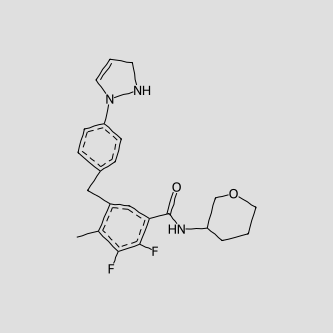 Cc1c(Cc2ccc(N3C=CCN3)cc2)cc(C(=O)NC2CCCOC2)c(F)c1F